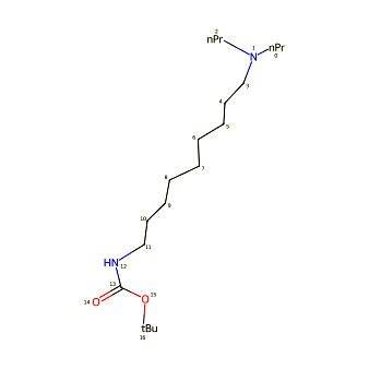 CCCN(CCC)CCCCCCCCCNC(=O)OC(C)(C)C